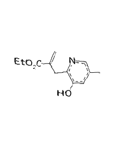 C=C(Cc1ncc(C)cc1O)C(=O)OCC